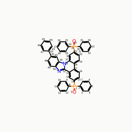 O=P(c1ccccc1)(c1ccccc1)c1ccc2c3ccc(P(=O)(c4ccccc4)c4ccccc4)cc3n3c4cc(-c5ccccc5)ccc4nc3c2c1